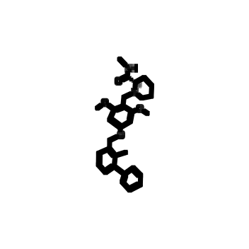 CNC(=O)[C@@H]1CCCCN1Cc1c(OC)cc(OCc2cccc(-c3ccccc3)c2C)cc1OC